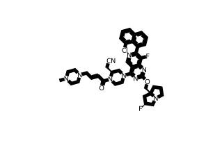 CN1CCN(C/C=C/C(=O)N2CCN(c3nc(OC[C@@]45CCCN4C[C@H](F)C5)nc4c(F)c(-c5cccc6cccc(Cl)c56)ncc34)C[C@@H]2CC#N)CC1